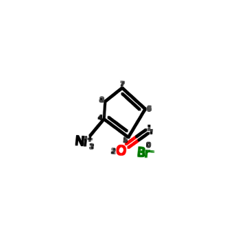 [Br-].[C]=O.[Ni+][C]1=CC=CC1